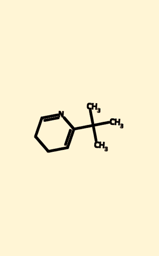 CC(C)(C)C1=CCCC=N1